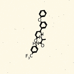 CC(C(=O)Nc1ccc(C(F)(F)F)cc1)n1nc(-c2cccc(Oc3ccccc3)c2)ccc1=O